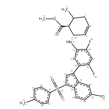 COC(=O)[C@H]1C(C)CC=C[C@@H]1Nc1nc(-c2cn(S(=O)(=O)c3ccc(C)cc3)c3ncc(Cl)cc23)c(F)cc1F